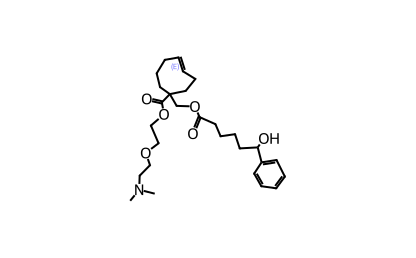 CN(C)CCOCCOC(=O)C1(COC(=O)CCCCC(O)c2ccccc2)CC/C=C/CCC1